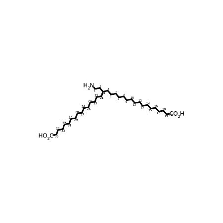 NCCC(CCCCCCCCCCCCCCCCC(=O)O)CCCCCCCCCCCCCCCC(=O)O